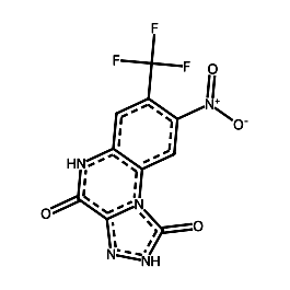 O=c1[nH]c2cc(C(F)(F)F)c([N+](=O)[O-])cc2n2c(=O)[nH]nc12